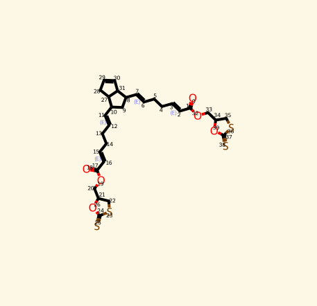 O=C(/C=C/CC/C=C/C1CC(/C=C/CC/C=C/C(=O)OCC2CSC(=S)O2)C2CC=CC12)OCC1CSC(=S)O1